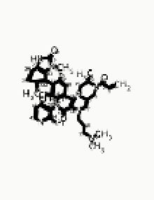 C=CC(=O)N1CC2CN(CCCN(C)C)c3c(c4cc(F)c(-c5c(C)ccc6[nH]c(=O)n(C)c56)c(Cl)c4n(-c4c(C)ccnc4C(C)C)c3=O)N2CC1C